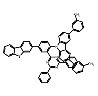 Cc1cccc(-c2ccc3c(c2)c2cc(-c4cccc(C)c4)ccc2n3-c2ccc(-c3ccc4c(c3)sc3ccccc34)cc2-c2nc(-c3ccccc3)nc(-c3ccccc3)n2)c1